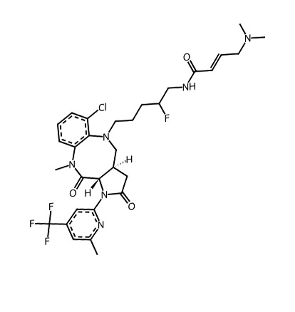 Cc1cc(C(F)(F)F)cc(N2C(=O)C[C@@H]3CN(CCCC(F)CNC(=O)/C=C/CN(C)C)c4c(Cl)cccc4N(C)C(=O)[C@H]32)n1